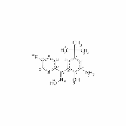 CC(C)(C)c1cc(N)c(O)c(C(=NO)c2ccc(F)cc2)c1